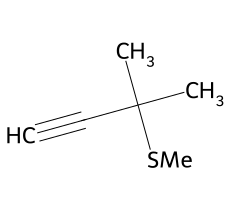 C#CC(C)(C)SC